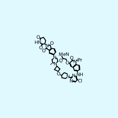 CNC(=O)COc1cc2cc(Nc3nc(N4CCC(OC5CC(N6[C@@H](C)CN(c7ccc8c(c7)C(=O)N([C@@H]7CCC(=O)NC7=O)C8=O)C[C@@H]6C)C5)CC4)ncc3Cl)ccc2n(C(C)C)c1=O